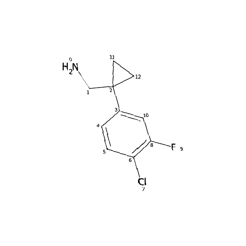 NCC1(c2ccc(Cl)c(F)c2)CC1